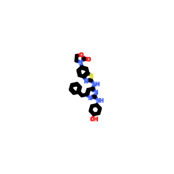 O=C1OCCN1c1ccc2nc(Nc3cc(Cc4ccccc4)nc(N[C@H]4CC[C@H](O)CC4)n3)sc2c1